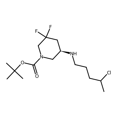 CC(Cl)CCCN[C@H]1CN(C(=O)OC(C)(C)C)CC(F)(F)C1